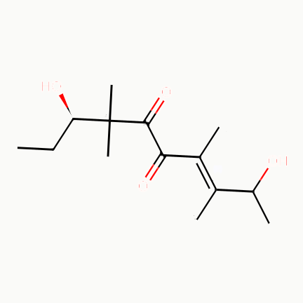 CC[C@@H](O)C(C)(C)C(=O)C(=O)/C(C)=C(\C)C(C)O